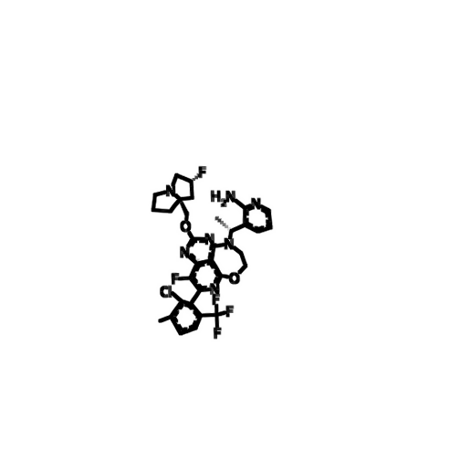 Cc1ccc(C(F)(F)F)c(-c2nc3c4c(nc(OC[C@@]56CCCN5C[C@H](F)C6)nc4c2F)N([C@H](C)c2cccnc2N)CCO3)c1Cl